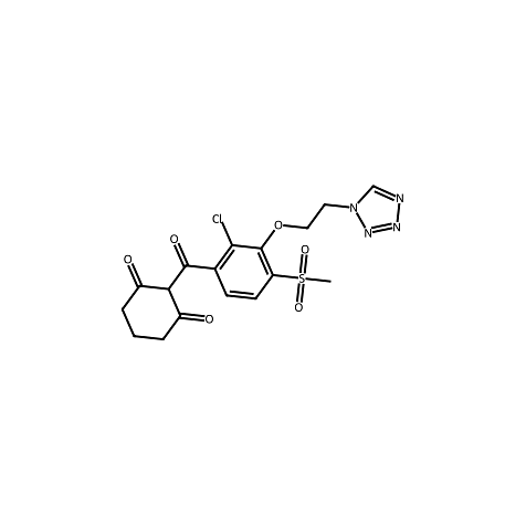 CS(=O)(=O)c1ccc(C(=O)C2C(=O)CCCC2=O)c(Cl)c1OCCn1cnnn1